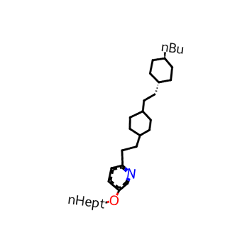 CCCCCCCOc1ccc(CCC2CCC(CC[C@H]3CC[C@H](CCCC)CC3)CC2)nc1